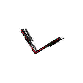 [S-2].[S-2].[S-2].[S-2].[S-2].[S-2].[S-2].[S-2].[S-2].[S-2].[S-2].[S-2].[S-2].[S-2].[S-2].[S-2].[S-2].[S-2].[S-2].[S-2].[S-2].[S-2].[S-2].[S-2].[S-2].[S-2].[S-2].[S-2].[S-2].[S-2].[S-2].[S-2].[S-2].[S-2].[S-2].[S-2].[S-2].[S-2].[S-2].[S-2].[S-2].[S-2].[S-2].[S-2].[S-2].[S-2].[Zn+2].[Zn+2].[Zn+2].[Zn+2].[Zn+2].[Zn+2].[Zn+2].[Zn+2].[Zn+2].[Zn+2].[Zn+2].[Zn+2].[Zn+2].[Zn+2].[Zn+2].[Zn+2].[Zn+2].[Zn+2].[Zn+2].[Zn+2].[Zn+2].[Zn+2].[Zn+2].[Zn+2].[Zn+2].[Zn+2].[Zn+2].[Zn+2].[Zn+2].[Zn+2].[Zn+2].[Zn+2].[Zn+2].[Zn+2].[Zn+2].[Zn+2].[Zn+2].[Zn+2].[Zn+2].[Zn+2].[Zn+2].[Zn+2].[Zn+2].[Zn+2]